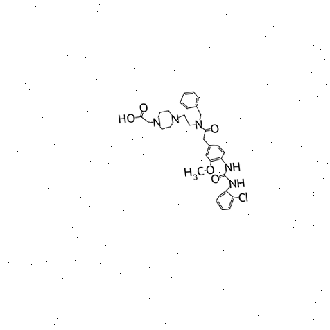 COc1cc(CC(=O)N(CCN2CCN(CC(=O)O)CC2)Cc2ccccc2)ccc1NC(=O)Nc1ccccc1Cl